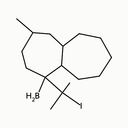 BC1(C(C)(C)I)CCC(C)CC2CCCCCC21